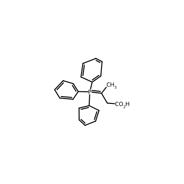 CC(CC(=O)O)=P(c1ccccc1)(c1ccccc1)c1ccccc1